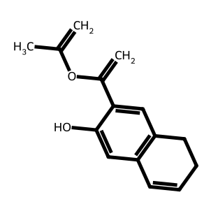 C=C(C)OC(=C)c1cc2c(cc1O)C=CCC2